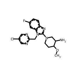 COC1CCN(c2nc3ccc(F)cc3n2Cc2ncc(Cl)cn2)CC1N